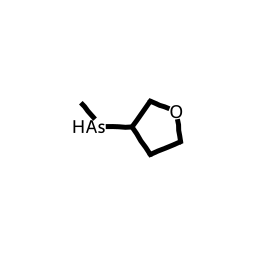 C[AsH]C1CCOC1